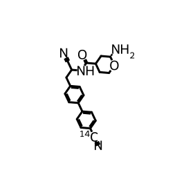 N#CC(Cc1ccc(-c2ccc([14C]#N)cc2)cc1)NC(=O)C1CCO[C@H](N)C1